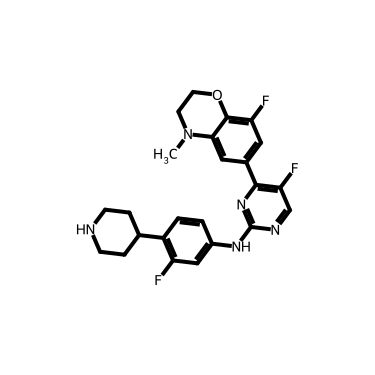 CN1CCOc2c(F)cc(-c3nc(Nc4ccc(C5CCNCC5)c(F)c4)ncc3F)cc21